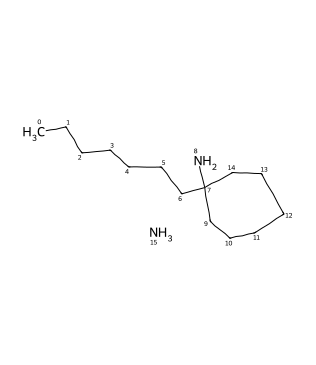 CCCCCCCC1(N)CCCCCC1.N